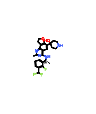 Cc1nc(N[C@H](C)c2cccc(C(F)F)c2F)c2cc(C3(O)CCNCC3)c3c(c2n1)CCO3